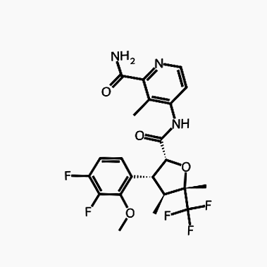 COc1c([C@@H]2[C@H](C(=O)Nc3ccnc(C(N)=O)c3C)O[C@](C)(C(F)(F)F)[C@H]2C)ccc(F)c1F